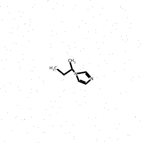 CCC(C)n1[c]cnc1